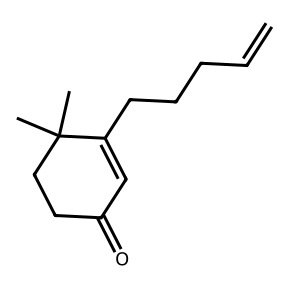 C=CCCCC1=CC(=O)CCC1(C)C